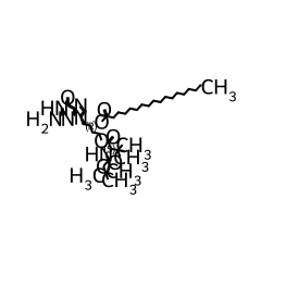 CCCCCCCCCCCCCCCCCC(=O)OC[C@H](CCOC(=O)[C@@H](NC(=O)OC(C)(C)C)C(C)C)Cn1cnc2c(=O)[nH]c(N)nc21